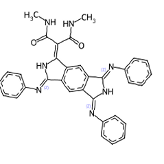 CNC(=O)C(C(=O)NC)=C1N/C(=N\c2ccccc2)c2cc3c(cc21)/C(=N/c1ccccc1)N/C3=N\c1ccccc1